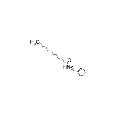 CCCCCCCCCCCC(=O)NSCc1ccccc1